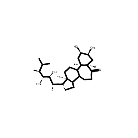 CC(C)[C@H](C)[C@@H](O)[C@H](O)[C@@H](C)[C@H]1CCC2C3CCC(=O)[C@@H]4C[C@H](O)[C@H](O)C[C@]4(C)C3CC[C@@]21C